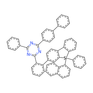 c1ccc(-c2ccc(-c3nc(-c4ccccc4)nc(-c4ccccc4-c4ccc5c(c4)[Si](c4ccccc4)(c4cccc6ccccc46)c4ccccc4-5)n3)cc2)cc1